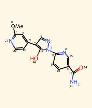 COc1cc(-c2cnn(-c3ccc(C(N)=O)cn3)c2O)ccn1